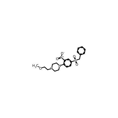 COCCN1CCN(c2ccc(S(=O)(=O)Cc3ccccc3)cc2[N+](=O)[O-])CC1